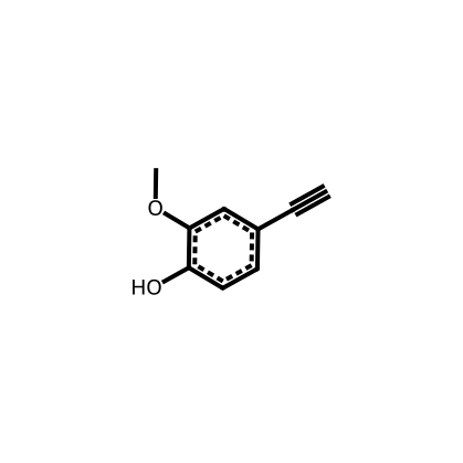 C#Cc1ccc(O)c(OC)c1